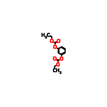 CCOC(=O)Oc1cccc(OC(=O)OCC)c1